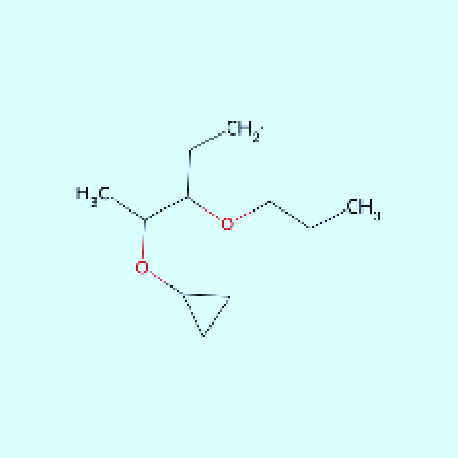 [CH2]CC(OCCC)C(C)OC1CC1